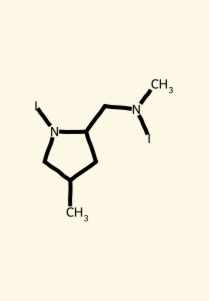 CC1CC(CN(C)I)N(I)C1